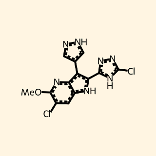 COc1nc2c(-c3cn[nH]c3)c(-c3nnc(Cl)[nH]3)[nH]c2cc1Cl